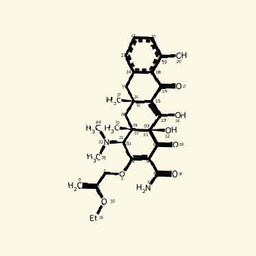 C=C(COC1=C(C(N)=O)C(=O)[C@@]2(O)C(O)=C3C(=O)c4c(O)cccc4C[C@@]3(C)C[C@@]2(C)[C@@H]1N(C)C)OCC